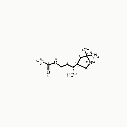 CC1(C)C[C@H](CCCOC(N)=O)CN1.Cl